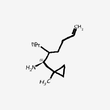 C=CCCC(CCC)[C@H](N)C1(C)CC1